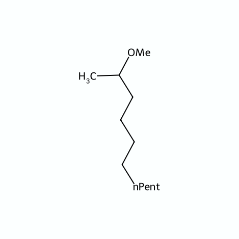 [CH2]OC(C)CCCCCCCCC